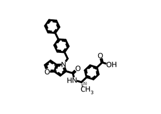 C[C@H](NC(=O)c1cc2occc2n1Cc1ccc(-c2ccccc2)cc1)c1ccc(C(=O)O)cc1